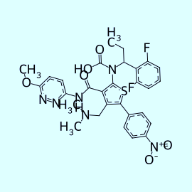 CCC(c1c(F)cccc1F)N(C(=O)O)c1sc(-c2ccc([N+](=O)[O-])cc2)c(CN(C)C)c1C(=O)Nc1ccc(OC)nn1